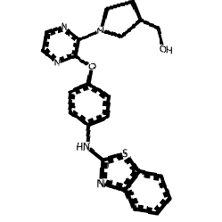 OCC1CCN(c2nccnc2Oc2ccc(Nc3nc4ccccc4s3)cc2)C1